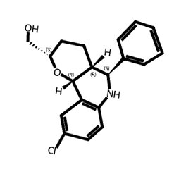 OC[C@@H]1CC[C@@H]2[C@@H](c3ccccc3)Nc3ccc(Cl)cc3[C@@H]2O1